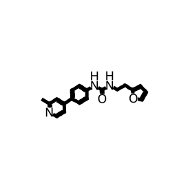 Cc1cc(-c2ccc(NC(=O)NCCc3ccco3)cc2)ccn1